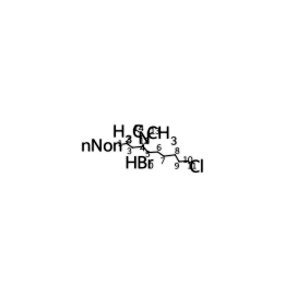 Br.CCCCCCCCCCCC(CCCCCCCl)N(C)C